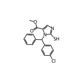 COC(=O)c1cnc(S)n1C(c1ccccc1)c1ccc(Cl)cc1